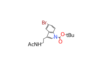 CC(=O)NCCc1cn(C(=O)OC(C)(C)C)c2ccc(Br)cc12